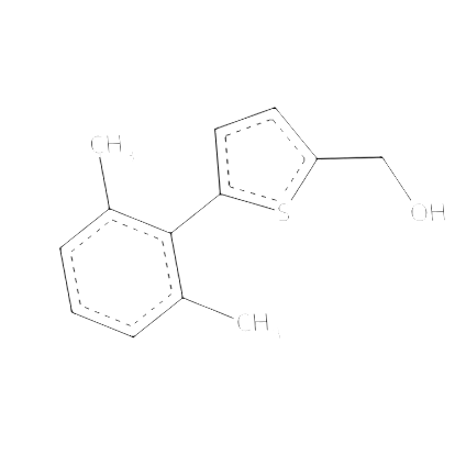 Cc1cccc(C)c1-c1ccc(CO)s1